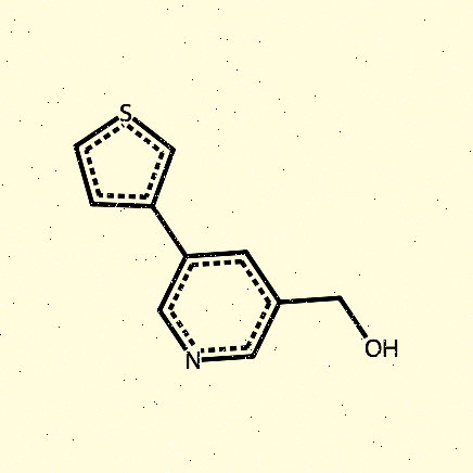 OCc1cncc(-c2ccsc2)c1